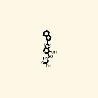 O=C(O)CNC(=O)c1ncc2nc(-c3ccc4ccccc4c3)sc2c1O